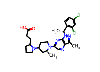 Cc1nn([C@H](C)c2ccc(Cl)cc2Cl)c2nc(N3CCC(N4CCCC4CCC(=O)O)C[C@@H]3C)cnc12